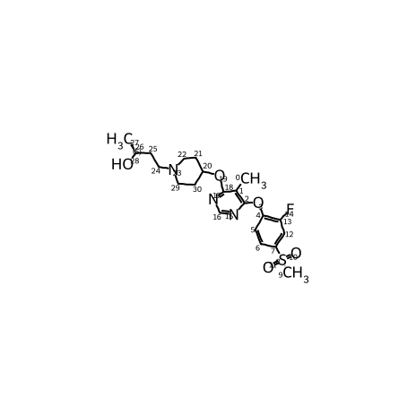 Cc1c(Oc2ccc(S(C)(=O)=O)cc2F)ncnc1OC1CCN(CC[C@H](C)O)CC1